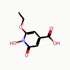 CCOc1cc(C(=O)O)cc(=O)n1O